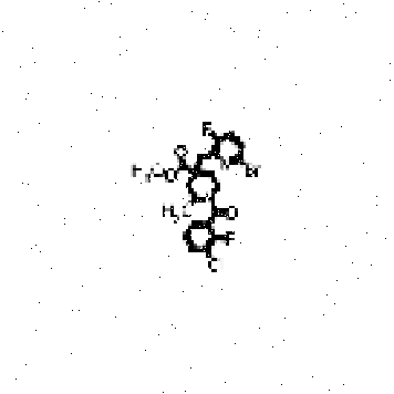 COC(=O)C1(Cc2nc(Br)ccc2F)CCN(C(=O)c2cccc(Cl)c2F)C(C)C1